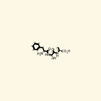 CC(C)[C@H](NC(=O)[C@H](N)Cc1ccccc1)C(=O)N[C@@H](C)C(=O)O